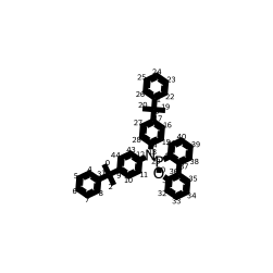 CC(C)(c1ccccc1)c1ccc(N(c2ccc(C(C)(C)c3ccccc3)cc2)P2Oc3ccccc3-c3ccccc32)cc1